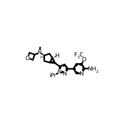 CC(C)n1nc(-c2cnc(N)c(OC(F)(F)F)c2)cc1C1=C2C[C@@H](N(C)C3COC3)C[C@H]21